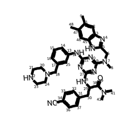 Cc1cc2nc(CN(C)c3nc(Nc4cccc(CN5CCNCC5)c4)nc(NC(Cc4ccc(C#N)cc4)C(=O)N(C)C)n3)[nH]c2cc1C